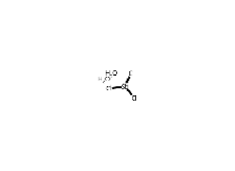 O.O.[Cl][Sb]([Cl])[Cl]